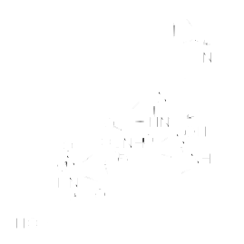 CC(C)c1ccccc1[C@H]1CCCN1C1CC2(CCN(c3ccc(C(=O)NS(=O)(=O)c4cc5c(c([N+](=O)[O-])c4)N[C@@H](C4CCC(C)(O)CC4)CO5)c(Oc4cc5cc[nH]c5nc4NC[C@@H](C)O)c3)CC2)C1